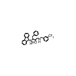 O[C@H](CNCc1cccc(C(F)(F)F)c1)[C@H](Cc1ccccc1)NC1c2ccccc2-c2ccccc21